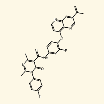 C=C(C)c1cnc2c(Oc3ccc(NC(=O)c4c(C)nc(C)n(-c5ccc(F)cc5)c4=O)cc3F)ccnc2c1